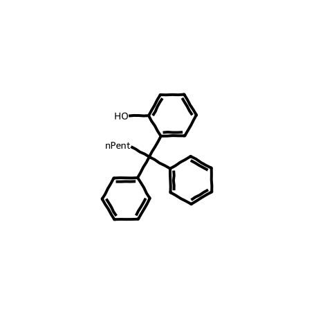 CCCCCC(c1ccccc1)(c1ccccc1)c1ccccc1O